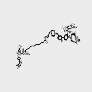 Cc1ncsc1-c1ccc(CNC(=O)[C@@H]2C[C@@H](O)CN2C(=O)[C@@H](NC(=O)CCCCCCCCCC(=O)NCCN2CCN(Cc3ccc(F)c(-c4ccc(N5C[C@@H](C)N(C)[C@@H](C)C5)c(NC(=O)c5c[nH]c(=O)cc5C(F)(F)F)c4)c3)CC2)C(C)(C)C)cc1